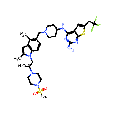 Cc1c(CN2CCC(Nc3nc(N)nc4sc(CC(F)(F)F)cc34)CC2)ccc2c1cc(C)n2C[C@H](C)N1CCN(S(C)(=O)=O)CC1